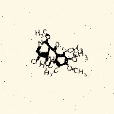 COc1ncc(Cl)c(C)c1C(=O)c1c(C)c(C)c(OC)c(OC)c1OC